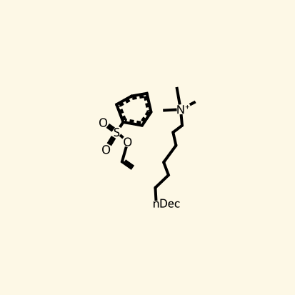 C=COS(=O)(=O)c1ccccc1.CCCCCCCCCCCCCCCC[N+](C)(C)C